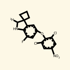 [2H]C1Nc2c(F)cc(Oc3c(Cl)cc([N+](=O)[O-])cc3Cl)cc2C12CCC2